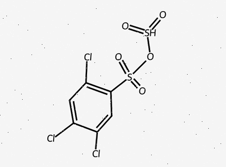 O=[SH](=O)OS(=O)(=O)c1cc(Cl)c(Cl)cc1Cl